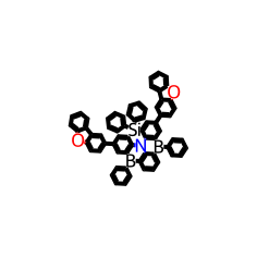 c1ccc(B2c3cccc4c3N3c5c2cc(-c2ccc6oc7ccccc7c6c2)cc5[Si](c2ccccc2)(c2ccccc2)c2cc(-c5ccc6oc7ccccc7c6c5)cc(c23)B4c2ccccc2)cc1